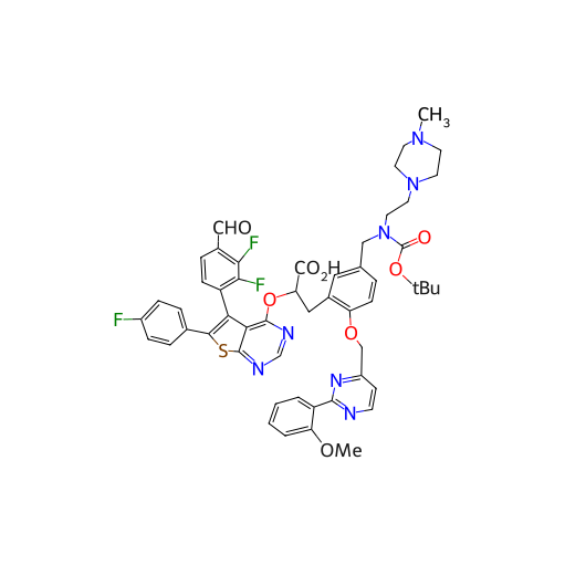 COc1ccccc1-c1nccc(COc2ccc(CN(CCN3CCN(C)CC3)C(=O)OC(C)(C)C)cc2CC(Oc2ncnc3sc(-c4ccc(F)cc4)c(-c4ccc(C=O)c(F)c4F)c23)C(=O)O)n1